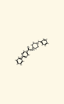 O=C(NC1CCN(Cc2ccccc2)CC1)c1cnc(-c2ccccc2)nc1